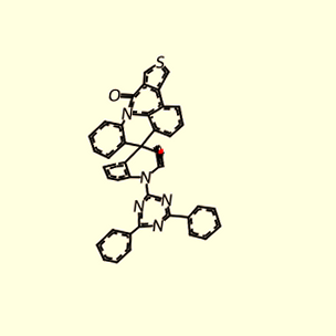 O=c1c2cscc2c2cccc3c2n1-c1ccccc1C31c2ccccc2N(c2nc(-c3ccccc3)nc(-c3ccccc3)n2)c2ccccc21